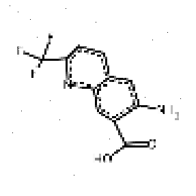 Nc1cc2ccc(C(F)(F)F)nc2cc1C(=O)O